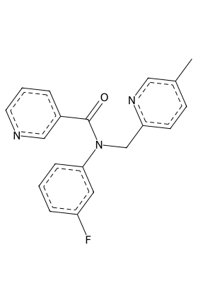 Cc1ccc(CN(C(=O)c2cccnc2)c2cccc(F)c2)nc1